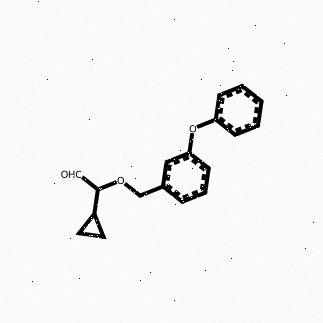 O=CC(OCc1cccc(Oc2ccccc2)c1)C1CC1